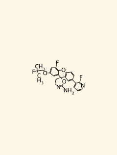 CC(C)(F)COc1cc(F)c2c(c1)[C@]1(CCN=C(N)O1)c1cc(-c3cccnc3F)ccc1O2